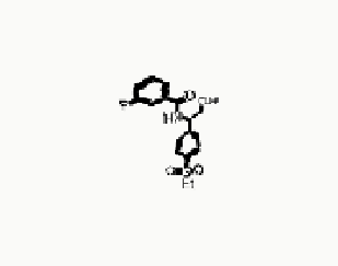 CCS(=O)(=O)c1ccc([C@H](CO)NC(=O)c2cccc(F)c2)cc1